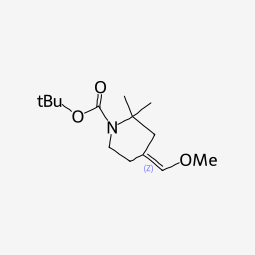 CO/C=C1/CCN(C(=O)OC(C)(C)C)C(C)(C)C1